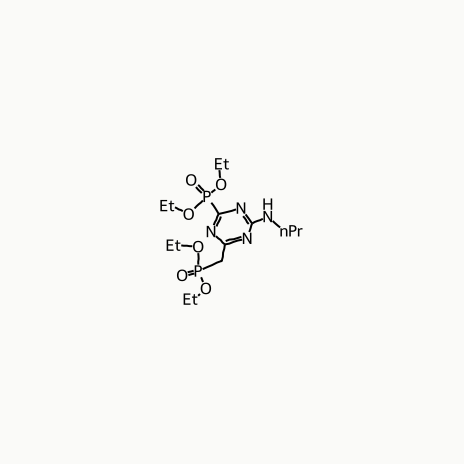 CCCNc1nc(CP(=O)(OCC)OCC)nc(P(=O)(OCC)OCC)n1